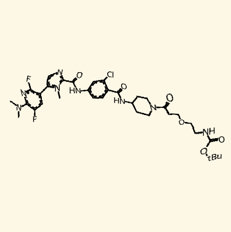 CN(C)c1nc(F)c(-c2cnc(C(=O)Nc3ccc(C(=O)NC4CCN(C(=O)CCOCCNC(=O)OC(C)(C)C)CC4)c(Cl)c3)n2C)cc1F